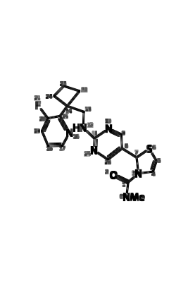 CNC(=O)N1C=CSC1c1cnc(NCC2(c3ncccc3F)CCC2)nc1